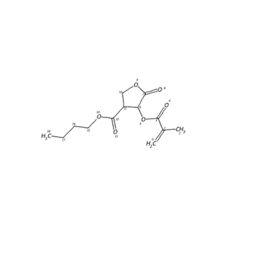 C=C(C)C(=O)OC1C(=O)OCC1C(=O)OCCCC